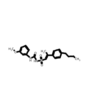 CCCCc1ccc(C(C)=CS(=O)(=O)NC(=O)Nc2cccc(OC)c2)cc1